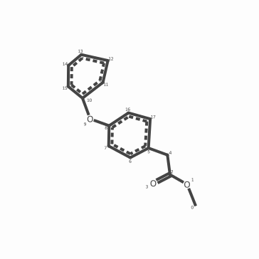 COC(=O)Cc1ccc(Oc2ccccc2)cc1